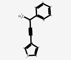 CC(C#Cc1ccsc1)c1ccccc1